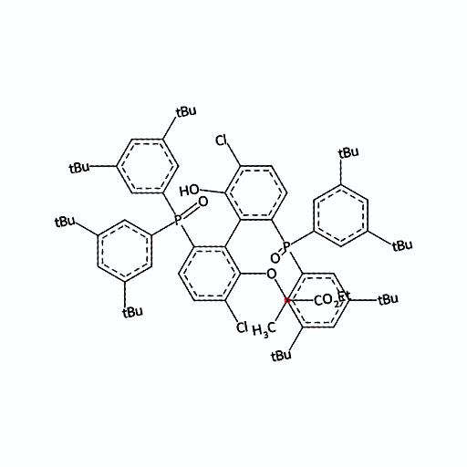 CCOC(=O)C(C)Oc1c(Cl)ccc(P(=O)(c2cc(C(C)(C)C)cc(C(C)(C)C)c2)c2cc(C(C)(C)C)cc(C(C)(C)C)c2)c1-c1c(P(=O)(c2cc(C(C)(C)C)cc(C(C)(C)C)c2)c2cc(C(C)(C)C)cc(C(C)(C)C)c2)ccc(Cl)c1O